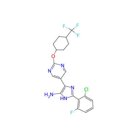 Nc1[nH]c(-c2c(F)cccc2Cl)nc1-c1cnc(OC2CCC(C(F)(F)F)CC2)nc1